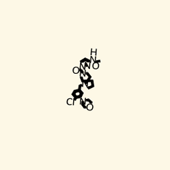 CC(=O)Nc1ccn(C(=O)N2CCC3(CCCN3Cc3ccc(Cl)c(N4CCOCC4)c3)CC2)n1